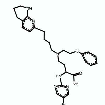 O=C(O)C(CCN(CCCCc1ccc2c(n1)NCCC2)CCOc1ccccc1)Nc1ncc(Br)cn1